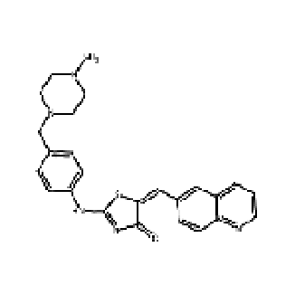 CN1CCN(Cc2ccc(NC3=NC(=O)/C(=C\c4ccc5ncccc5c4)S3)cc2)CC1